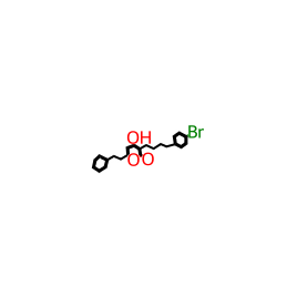 O=c1oc(CCc2ccccc2)cc(O)c1CCCCc1ccc(Br)cc1